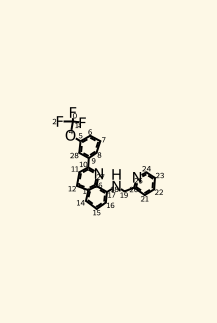 FC(F)(F)Oc1cccc(-c2ccc3cccc(NCc4ccccn4)c3n2)c1